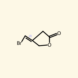 O=C1C/C(=C/Br)CO1